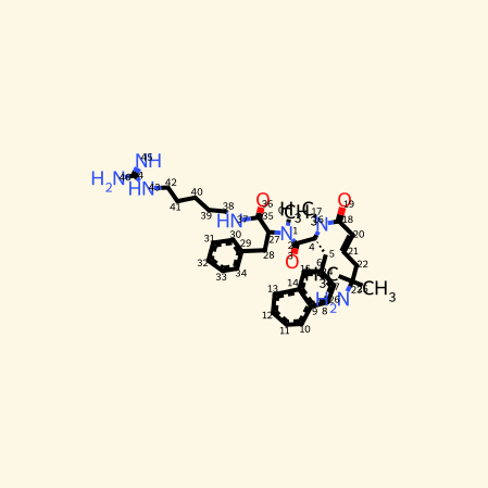 CN(C(=O)[C@@H](Cc1ccc2ccccc2c1)N(C)C(=O)/C=C/CC(C)(C)N)C(Cc1ccccc1)C(=O)NCCCCCNC(=N)N